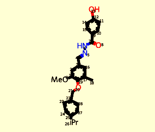 COc1cc(/C=N/NC(=O)c2ccc(O)cc2)cc(C)c1OCc1ccc(C(C)C)cc1